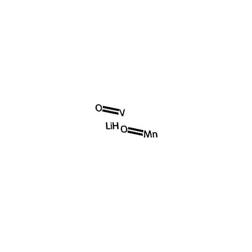 [LiH].[O]=[Mn].[O]=[V]